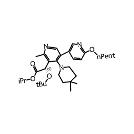 CCCCCOc1ccc(-c2cnc(C)c([C@H](OC(C)(C)C)C(=O)OC(C)C)c2N2CCC(C)(C)CC2)cn1